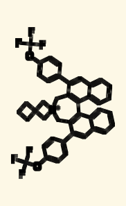 FC(F)(F)Oc1ccc(-c2cc3ccccc3c3c2C[N+]2(Cc4c(-c5ccc(OC(F)(F)F)cc5)cc5ccccc5c4-3)CC3(CCC3)C2)cc1